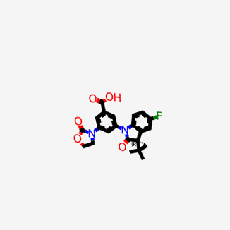 CC1(C)C[C@@]12C(=O)N(c1cc(C(=O)O)cc(N3CCOC3=O)c1)c1ccc(F)cc12